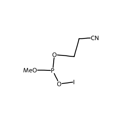 COP(OI)OCCC#N